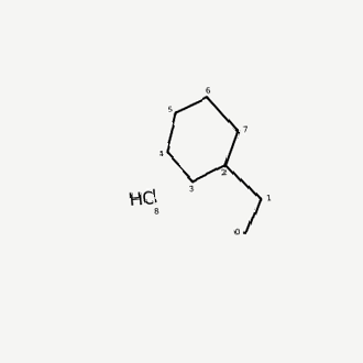 CCC1CCCCC1.Cl